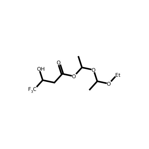 CCOC(C)OC(C)OC(=O)CC(O)C(F)(F)F